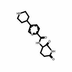 O=C1CCC(NC(=O)c2ccc(C3CCNCC3)cn2)C(=O)N1